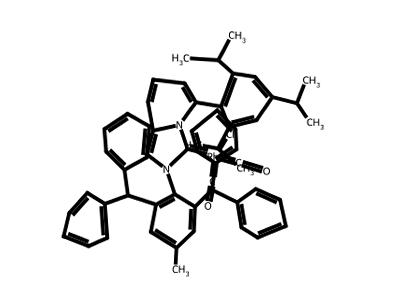 Cc1cc(C(c2ccccc2)c2ccccc2)c(-n2cc3cccc(-c4c(C(C)C)cc(C(C)C)cc4C(C)C)n3[c]2=[Rh-2]([Cl])(=[C]=O)=[C]=O)c(C(c2ccccc2)c2ccccc2)c1